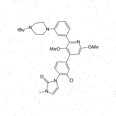 COc1cc(-c2ccc(-n3ccn(C)c3=O)c(Cl)c2)c(OC)c(-c2cccc(N3CCN(C(C)(C)C)CC3)c2)n1